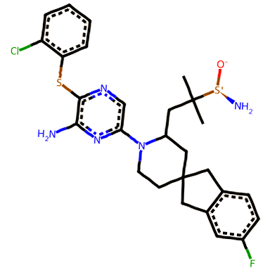 CC(C)(CC1CC2(CCN1c1cnc(Sc3ccccc3Cl)c(N)n1)Cc1ccc(F)cc1C2)[S@+](N)[O-]